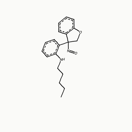 CCCCCNc1ccccc1C1(N=O)COc2ccccc21